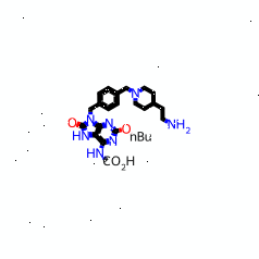 CCCCOc1nc(NC(=O)O)c2[nH]c(=O)n(Cc3ccc(CN4CCC(CCN)CC4)cc3)c2n1